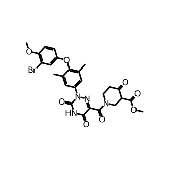 COC(=O)C1CN(C(=O)c2nn(-c3cc(C)c(Oc4ccc(OC)c(Br)c4)c(C)c3)c(=O)[nH]c2=O)CCC1=O